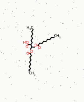 CCCCCCCCCC(=O)OCC(COC(=O)CCCCCCCCC)C(CCCCCCCC)C(=O)O